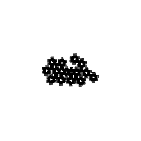 Fc1ccccc1N1c2cc3c(cc2B2c4ccccc4N(c4ccccc4)c4cc(N(c5ccccc5)c5ccccc5)cc1c42)B1c2ccccc2N(c2ccccc2)c2cc(N(c4ccc(-c5ccccc5)cc4)c4cccc(-c5ccccc5)c4)cc(c21)S3